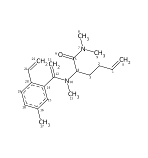 C=CCCC(C(=O)N(C)C)N(C)C(=C)c1cc(C)ccc1C=C